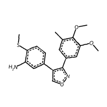 COc1cc(-c2nocc2-c2ccc(SC)c(N)c2)cc(C)c1OC